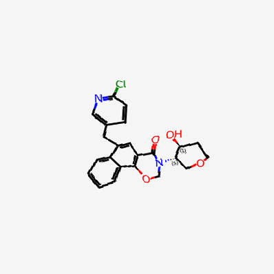 O=C1c2cc(Cc3ccc(Cl)nc3)c3ccccc3c2OCN1[C@H]1COCC[C@@H]1O